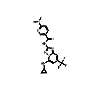 CN(C)c1ccc(C(=O)Nc2nc3cc(C(F)(F)F)cc(NC4CC4)n3n2)cn1